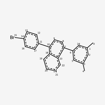 Cc1cc(C)cc(-c2ccc(-c3ccc(Br)cc3)c3ccncc23)c1